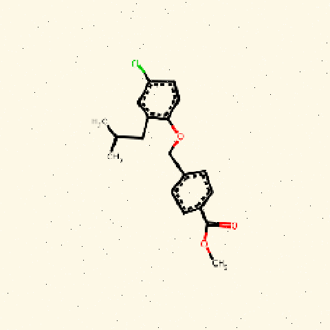 COC(=O)c1ccc(COc2ccc(Cl)cc2CC(C)C)cc1